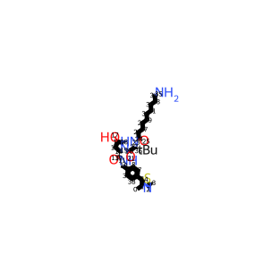 Cc1ncsc1-c1ccc(CNC(=O)[C@@H]2C[C@@H](O)CN2C(=O)[C@@H](NC(=O)CCCCCCCCCN)C(C)(C)C)cc1